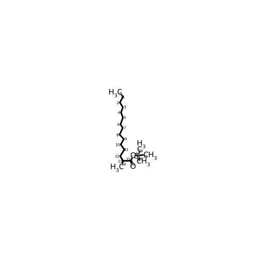 CCCCCCCCCCCCCC(C)C(=O)O[Si](C)(C)C